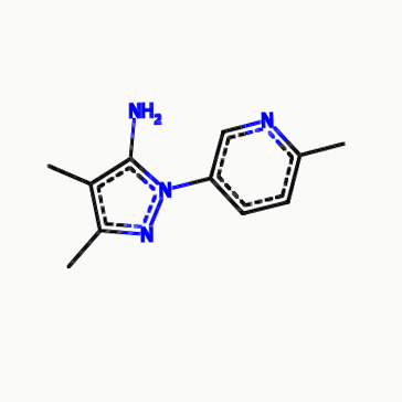 Cc1ccc(-n2nc(C)c(C)c2N)cn1